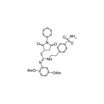 COc1ccc(OC)c(/N=C(\NCCc2ccc(S(N)(=O)=O)cc2)SC2CC(=O)N(c3ccccc3)C2=O)c1